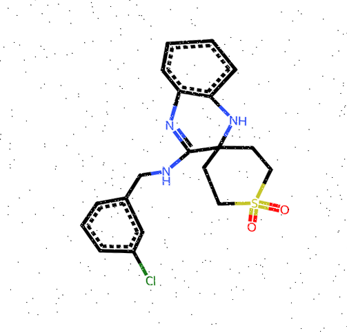 O=S1(=O)CCC2(CC1)Nc1ccccc1N=C2NCc1cccc(Cl)c1